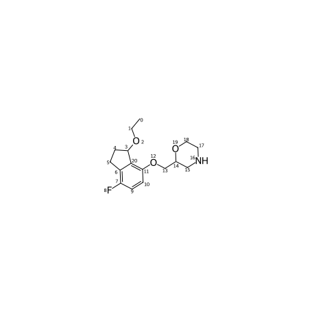 CCOC1CCc2c(F)ccc(OCC3CNCCO3)c21